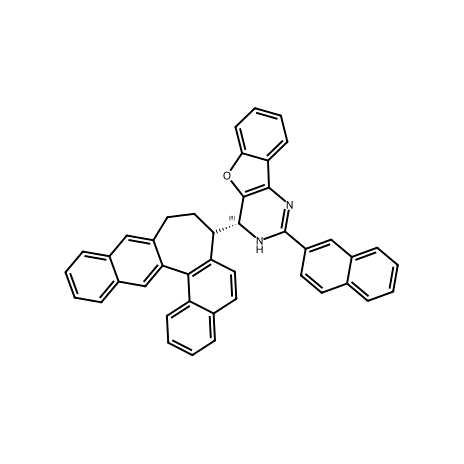 c1ccc2cc(C3=Nc4c(oc5ccccc45)[C@@H](C4CCc5cc6ccccc6cc5-c5c4ccc4ccccc54)N3)ccc2c1